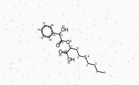 CCCCSCCC(OC(=O)C(O)c1ccccc1)C(=O)O